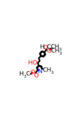 CCOC(=O)c1cc(C(O)CCc2ccc(C(=O)OC(C)(C)C)cc2)cc(C)n1